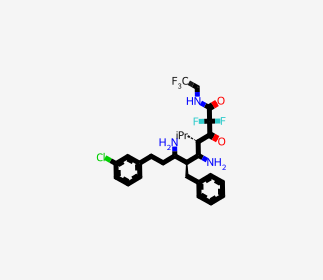 CC(C)[C@H](C(=O)C(F)(F)C(=O)NCC(F)(F)F)C(N)[C@@H](Cc1ccccc1)C(N)CCc1cccc(Cl)c1